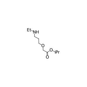 CCNCCCOCC(=O)OC(C)C